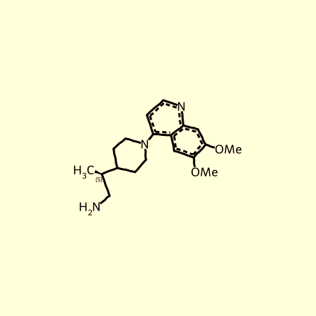 COc1cc2nccc(N3CCC([C@H](C)CN)CC3)c2cc1OC